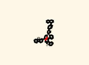 c1ccc(N(c2ccc(-c3ccc(-c4cccc5ccccc45)cc3)cc2)c2ccc(-c3ccc4c(c3)oc3ccccc34)cc2)c(-c2cccc3sc4ccccc4c23)c1